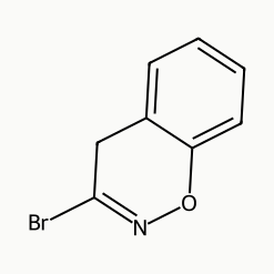 BrC1=NOc2ccccc2C1